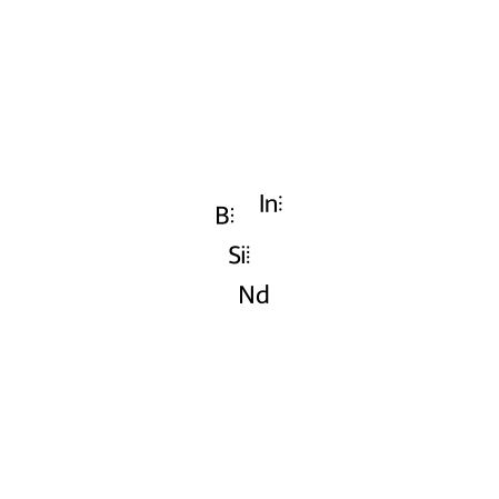 [B].[In].[Nd].[Si]